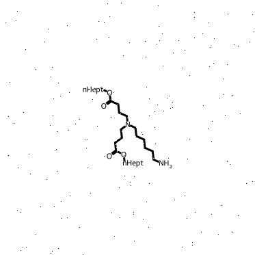 CCCCCCCOC(=O)CCCN(CCCCCCN)CCCC(=O)OCCCCCCC